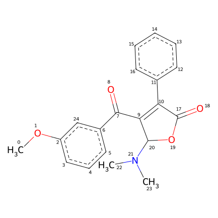 COc1cccc(C(=O)C2=C(c3ccccc3)C(=O)OC2N(C)C)c1